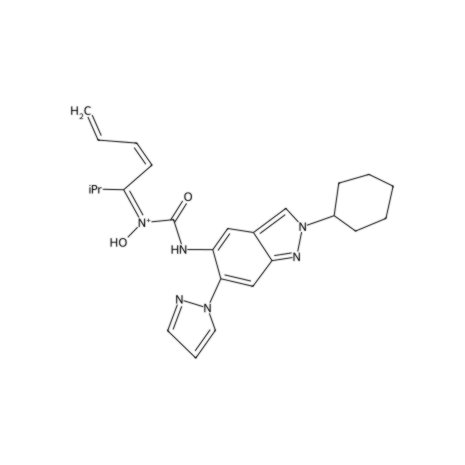 C=C/C=C\C(C(C)C)=[N+](\O)C(=O)Nc1cc2cn(C3CCCCC3)nc2cc1-n1cccn1